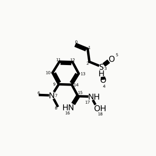 C=CC[SH](=O)=O.CN(C)c1ccccc1C(=N)NO